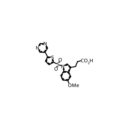 COc1ccc2c(c1)c(CCC(=O)O)cn2S(=O)(=O)c1ccc(-c2cncnc2)s1